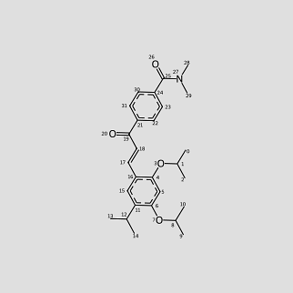 CC(C)Oc1cc(OC(C)C)c(C(C)C)cc1C=CC(=O)c1ccc(C(=O)N(C)C)cc1